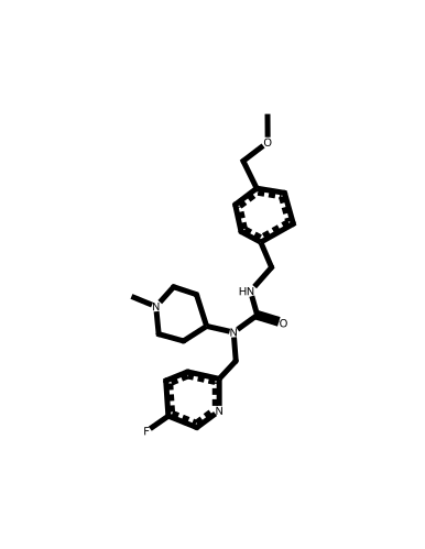 COCc1ccc(CNC(=O)N(Cc2ccc(F)cn2)C2CCN(C)CC2)cc1